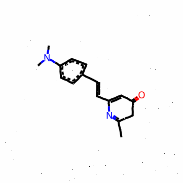 CC1=NC(C=Cc2ccc(N(C)C)cc2)=CC(=O)C1